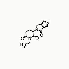 CCN1C(=O)CCC(N2Cc3cscc3C2=O)C1=O